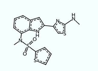 CNc1nc(-c2cc3cccc(N(C)S(=O)(=O)c4cccs4)c3[nH]2)cs1